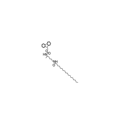 CCCCCCCCCCCCCCCCCC(=O)NCCCCC(C)NC(=O)OCC1c2ccccc2-c2ccccc21